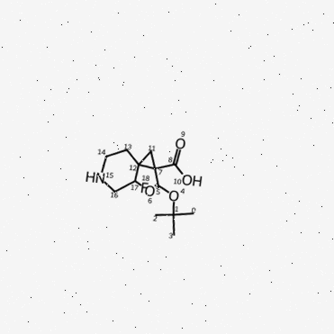 CC(C)(C)OC(=O)C1(C(=O)O)CC12CCNCC2F